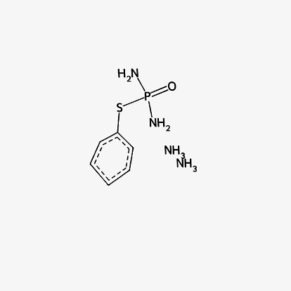 N.N.NP(N)(=O)Sc1ccccc1